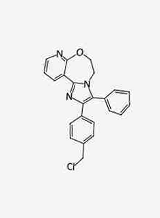 ClCc1ccc(-c2nc3n(c2-c2ccccc2)CCOc2ncccc2-3)cc1